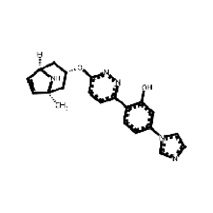 C[C@@]12C=C[C@@H](C[C@H](Oc3ccc(-c4ccc(-n5ccnc5)cc4O)nn3)C1)N2